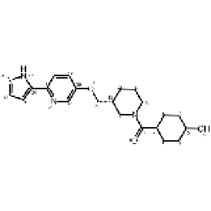 O=C(C1CCC(O)CC1)N1CCC[C@@H](COc2ccc(-c3ccn[nH]3)nc2)C1